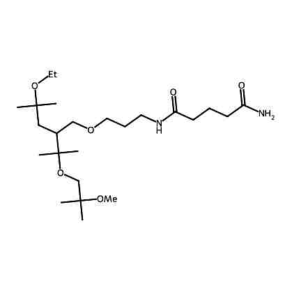 CCOC(C)(C)CC(COCCCNC(=O)CCCC(N)=O)C(C)(C)OCC(C)(C)OC